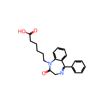 O=C(O)CCCCCN1C(=O)CN=C(c2ccccc2)c2ccccc21